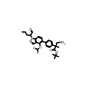 CCCC(C=O)n1ncc2c(OC(F)F)c(-c3ccc(C(C)(CN)C(=O)OC(C)(C)C)cc3)ccc21